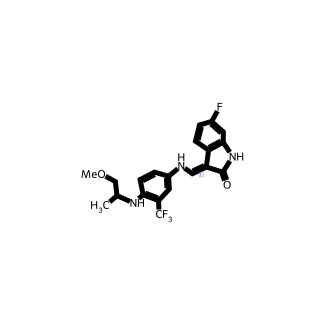 COCC(C)Nc1ccc(N/C=C2/C(=O)Nc3cc(F)ccc32)cc1C(F)(F)F